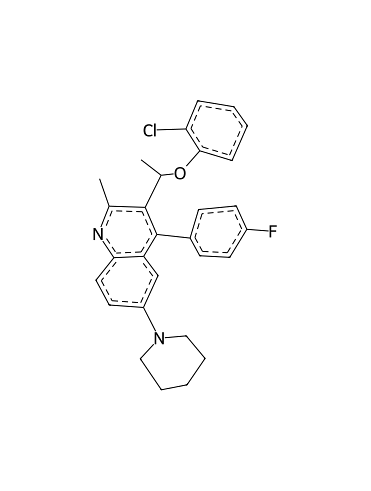 Cc1nc2ccc(N3CCCCC3)cc2c(-c2ccc(F)cc2)c1C(C)Oc1ccccc1Cl